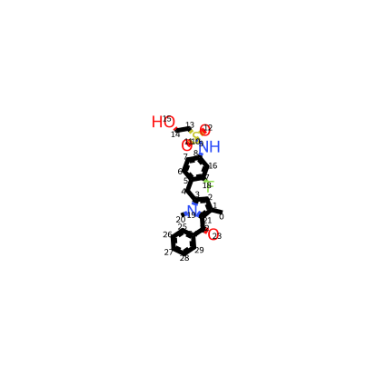 Cc1cc(Cc2ccc(NS(=O)(=O)CCO)cc2F)n(C)c1C(=O)c1ccccc1